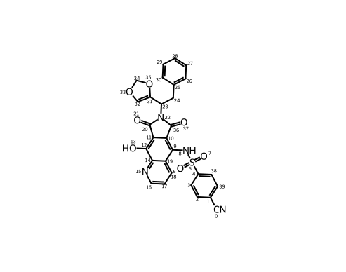 N#Cc1ccc(S(=O)(=O)Nc2c3c(c(O)c4ncccc24)C(=O)N(C(Cc2ccccc2)C2=COCO2)C3=O)cc1